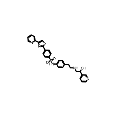 O=S(=O)(Nc1ccc(CCNCC(O)c2cccnc2)cc1)c1ccc(-c2nc(-c3ccccn3)cs2)cc1